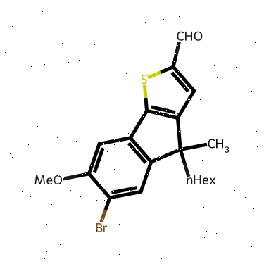 CCCCCCC1(C)c2cc(Br)c(OC)cc2-c2sc(C=O)cc21